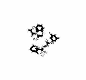 C/C(=N\NC(=O)Nc1cc(F)cc(F)c1)c1ncccc1C(=O)O.CC1COc2ccccc2N1C(=O)C(Cl)Cl